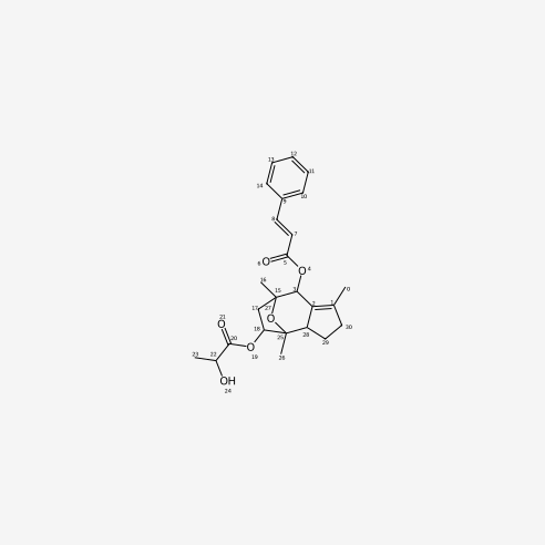 CC1=C2C(OC(=O)/C=C/c3ccccc3)C3(C)CC(OC(=O)C(C)O)C(C)(O3)C2CC1